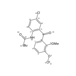 COc1c(OC(F)(F)F)cccc1C(=O)c1cc(Cl)ccc1NC(=O)C(C)(C)C